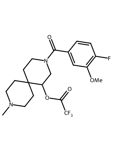 COc1cc(C(=O)N2CCC3(CCN(C)CC3)C(OC(=O)C(F)(F)F)C2)ccc1F